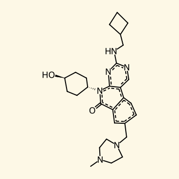 CN1CCN(Cc2ccc3c(c2)c(=O)n([C@H]2CC[C@H](O)CC2)c2nc(NCC4CCC4)ncc32)CC1